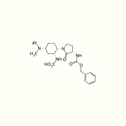 CC(C)N(C)[C@@H]1CC[C@H](N2CC[C@H](NC(=O)OCc3ccccc3)C2=O)[C@H](NC(=O)O)C1